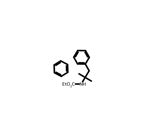 CCOC(=O)NC(C)(C)Cc1ccccc1.c1ccccc1